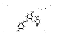 OC1CCN[C@@H]1Cc1cc(Br)ccc1OCc1ccc(Cl)cc1